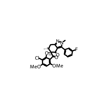 COc1cc(OC)c2c(c1Cl)O[C@]1(C2=O)C(=O)c2c(nn(C)c2-c2cccc(F)c2)C[C@H]1C